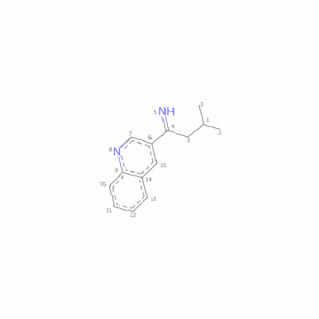 CC(C)CC(=N)c1cnc2ccccc2c1